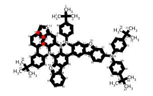 CC(C)(C)c1ccc(N2B3c4cc5sccc5cc4N(c4ccc(C(C)(C)C)cc4-c4ccccc4)c4c3c(cc3c4oc4ccccc43)-c3cc4c(cc32)oc2cc(N(c3ccc(C(C)(C)C)cc3)c3ccc(C(C)(C)C)cc3)ccc24)cc1